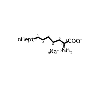 CCCCCCCCCCCCC(N)C(=O)[O-].[Na+]